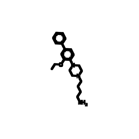 CCOc1cc(-c2ccccc2)ccc1N1CCN(CCCCN)CC1